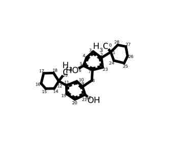 CC1(c2ccc(O)c(Cc3cc(C4(C)CCCCC4)ccc3O)c2)CCCCC1